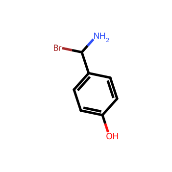 NC(Br)c1ccc(O)cc1